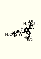 Cc1noc([C@H]2C[C@@H]2C(=O)NCc2ccc(-c3cncc(C(C)(C)O)c3)c3c2CN(C(=O)NC(C)(C)C)CC3)n1